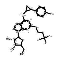 OCC1CC(n2nnc3c(NC4CC4c4ccc(F)cc4)nc(SCCC(F)(F)F)nc32)[C@@H](O)[C@@H]1O